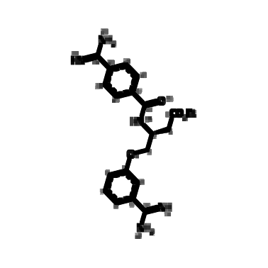 CCOC(=O)C[C@@H](COc1cccc(C(=N)N)c1)NC(=O)c1ccc(C(=N)N)cc1